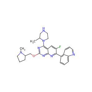 CC1CNCCN1c1nc(OCC2CCCN2C)nc2nc(-c3cccc4ncccc34)c(F)cc12